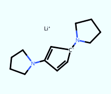 [Li+].c1c[c-](N2CCCC2)cc1N1CCCC1